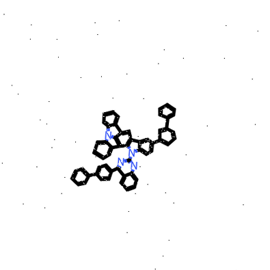 c1ccc(-c2ccc(-c3nc(-n4c5ccc(-c6cccc(-c7ccccc7)c6)cc5c5cc6c7ccccc7n7c8ccccc8c(c54)c67)nc4ccccc34)cc2)cc1